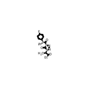 CCC(=O)C(C)n1nnn(C(=O)N(c2ccc(F)cc2)C(C)C)c1=O